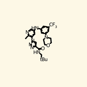 Cc1ncc(Nc2cc(N3CCOCC3)cc(C(F)(F)F)c2)cc1-n1cc(C(=O)NCC(C)(C)C)nn1